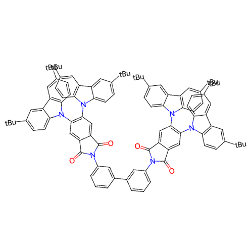 CC(C)(C)c1ccc2c(c1)c1cc(C(C)(C)C)ccc1n2-c1cc2c(cc1-n1c3ccc(C(C)(C)C)cc3c3cc(C(C)(C)C)ccc31)C(=O)N(c1cccc(-c3cccc(N4C(=O)c5cc(-n6c7ccc(C(C)(C)C)cc7c7cc(C(C)(C)C)ccc76)c(-n6c7ccc(C(C)(C)C)cc7c7cc(C(C)(C)C)ccc76)cc5C4=O)c3)c1)C2=O